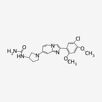 COc1cc(OC)c(-c2cn3ccc(N4CCC(NC(N)=O)C4)cc3n2)cc1Cl